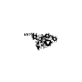 COc1ccc(CN(CC(=O)Nc2ccc(Oc3ccccc3)cc2)C(COc2ccccc2Cl)c2nnn[nH]2)cc1